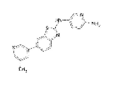 Cc1cncc(-c2ccc3nc(Nc4ccc(N)nc4)sc3c2)c1